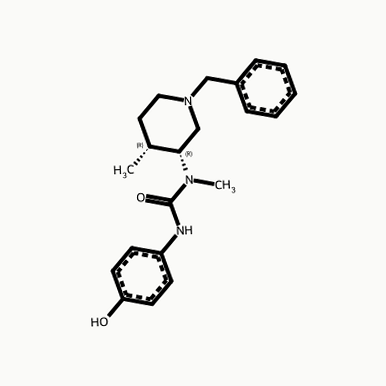 C[C@@H]1CCN(Cc2ccccc2)C[C@@H]1N(C)C(=O)Nc1ccc(O)cc1